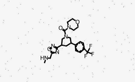 CNCc1nc(C2CC(c3ccc(C(F)(F)F)cc3)CN(C(=O)N3CCOCC3)C2)no1